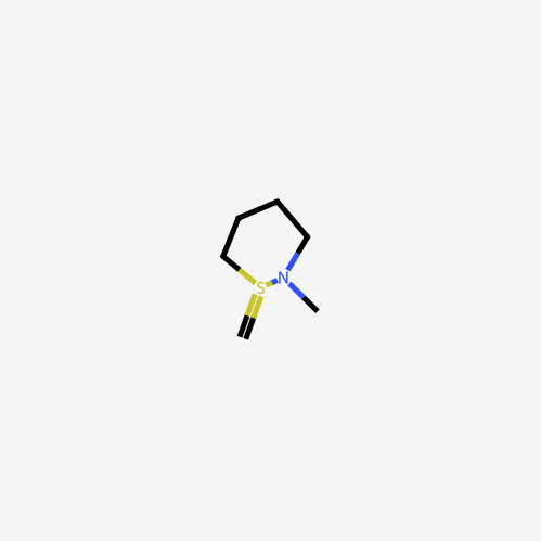 C=S1CCCCN1C